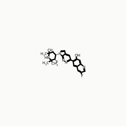 CC1(C)C[C@H](n2ccc3cc(-c4cc5cc(F)cnc5cc4O)nnc32)[C@H](F)C(C)(C)N1